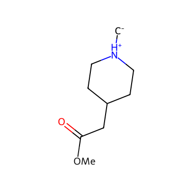 [CH2-][NH+]1CCC(CC(=O)OC)CC1